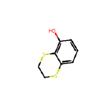 Oc1cccc2c1SCCS2